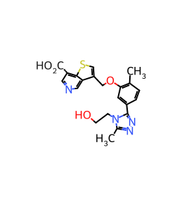 Cc1ccc(-c2nnc(C)n2CCO)cc1OCc1csc2c(C(=O)O)cncc12